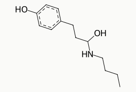 CCCCNC(O)CCc1ccc(O)cc1